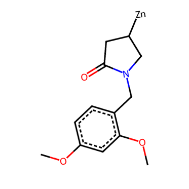 COc1ccc(CN2C[CH]([Zn])CC2=O)c(OC)c1